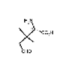 CC(C)(CC=O)[C@H](N)C(=O)O